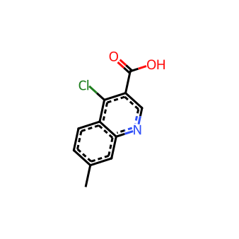 Cc1ccc2c(Cl)c(C(=O)O)cnc2c1